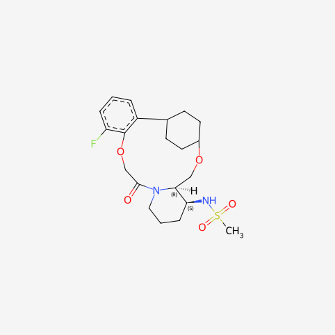 CS(=O)(=O)N[C@H]1CCCN2C(=O)COc3c(F)cccc3C3CCC(CC3)OC[C@@H]12